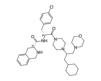 O=C(N[C@H](Cc1ccc(Cl)cc1)C(=O)N1CCN(C(CC2CCCCC2)CN2CCOCC2)CC1)[C@H]1Cc2ccccc2CN1